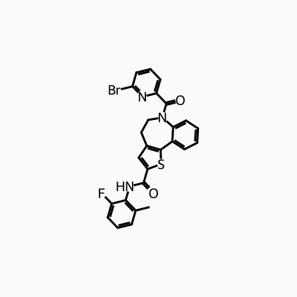 Cc1cccc(F)c1NC(=O)c1cc2c(s1)-c1ccccc1N(C(=O)c1cccc(Br)n1)CC2